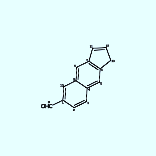 O=Cc1ccc2cc3c(cc2c1)C=CC3